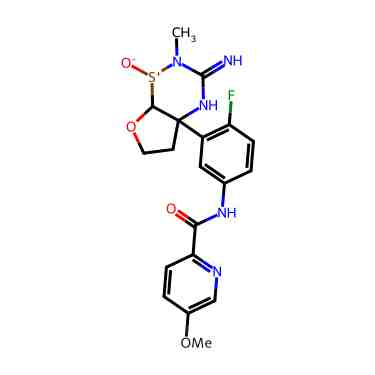 COc1ccc(C(=O)Nc2ccc(F)c(C34CCOC3[S+]([O-])N(C)C(=N)N4)c2)nc1